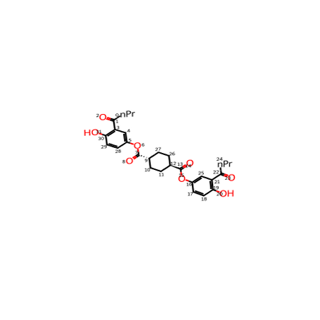 CCCC(=O)c1cc(OC(=O)[C@H]2CC[C@H](C(=O)Oc3ccc(O)c(C(=O)CCC)c3)CC2)ccc1O